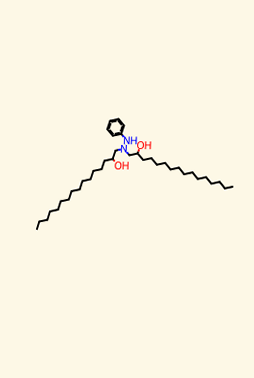 CCCCCCCCCCCCCCC(O)CN(CC(O)CCCCCCCCCCCCCC)Nc1ccccc1